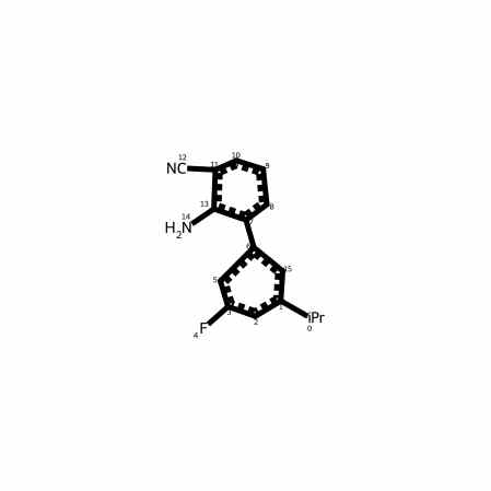 CC(C)c1cc(F)cc(-c2cccc(C#N)c2N)c1